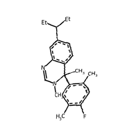 CCC(CC)c1ccc2c(c1)N=CN(C)C2(C)c1cc(C)c(F)cc1C